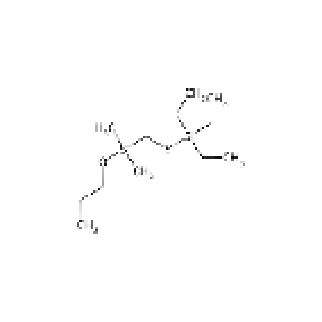 CCCO[Si](C)(C)CS[Si](CC)(CC)CC